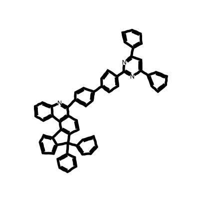 c1ccc(-c2cc(-c3ccccc3)nc(-c3ccc(-c4ccc(-c5nc6ccccc6c6c7c(ccc56)C(c5ccccc5)(c5ccccc5)c5ccccc5-7)cc4)cc3)n2)cc1